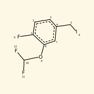 Fc1ccc(CI)cc1OC(F)F